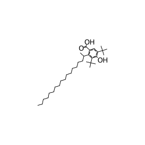 CCCCCCCCCCCCCCCCC(C)c1c(C(=O)O)cc(C(C)(C)C)c(O)c1C(C)(C)C